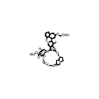 COCOc1cc(-c2ncc3c4nc(nc3c2F)OC[C@]23CCCN2C[C@@H](C3)OCCCOC[C@@]23CC[C@@H](CN4C2)N3C(=O)OC(C)(C)C)c2c(F)cccc2c1